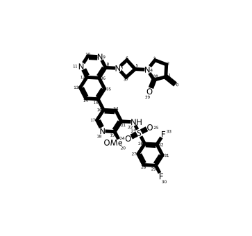 C=C1CCN(C2CN(c3ncnc4ccc(-c5cnc(OC)c(NS(=O)(=O)c6ccc(F)cc6F)c5)cc34)C2)C1=O